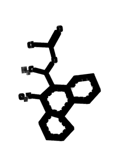 CC(OC(=O)Cl)c1c([N+](=O)[O-])c2ccccc2c2ccccc12